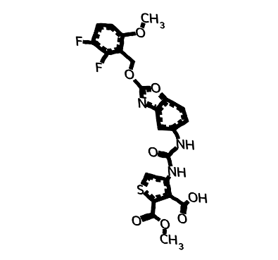 COC(=O)c1scc(NC(=O)Nc2ccc3oc(OCc4c(OC)ccc(F)c4F)nc3c2)c1C(=O)O